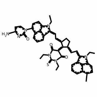 CCN1C(=O)C(=C2/C(=C/C=c3\c4cccc5c(C)ccc(c54)n3CC)CC/C2=C\C=c2/c3cccc4c(-n5ccc(N)nc5=O)ccc(c43)n2CC)C(=O)N(CC)C1=S